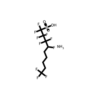 N.O=S(=O)(O)C(F)(F)C(F)(F)C(F)(F)C(F)CCCCC(F)(F)F